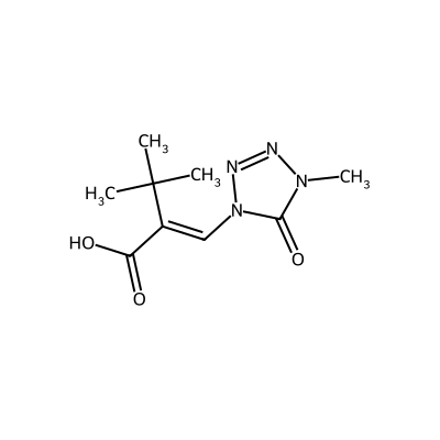 Cn1nnn(/C=C(/C(=O)O)C(C)(C)C)c1=O